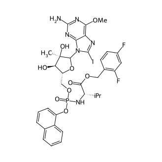 COc1nc(N)nc2c1nc(I)n2C1O[C@H](COP(=O)(N[C@H](C(=O)OCc2ccc(F)cc2F)C(C)C)Oc2cccc3ccccc23)[C@@H](O)[C@@]1(C)O